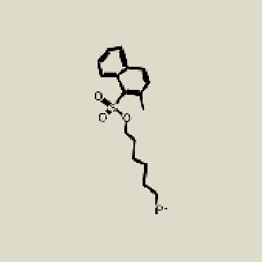 Cc1ccc2ccccc2c1S(=O)(=O)OCCCCCCC(C)C